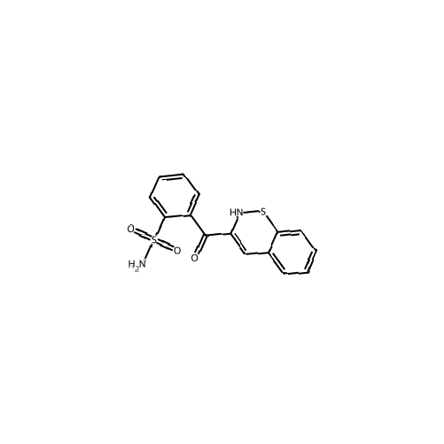 NS(=O)(=O)c1ccccc1C(=O)C1=Cc2ccccc2SN1